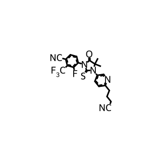 CC1(C)C(=O)N(c2ccc(C#N)c(C(F)(F)F)c2F)C(=S)N1c1ccc(CCCC#N)nc1